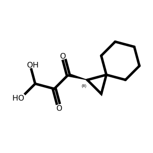 O=C(C(=O)[C@@H]1CC12CCCCC2)C(O)O